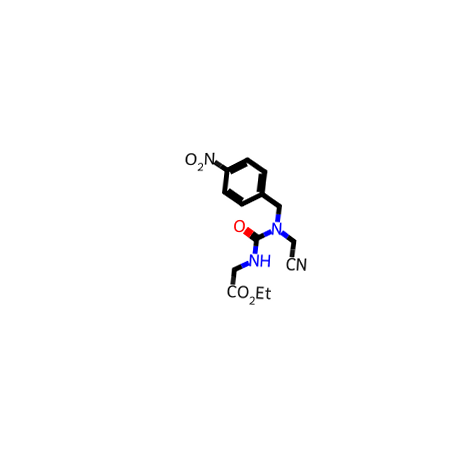 CCOC(=O)CNC(=O)N(CC#N)Cc1ccc([N+](=O)[O-])cc1